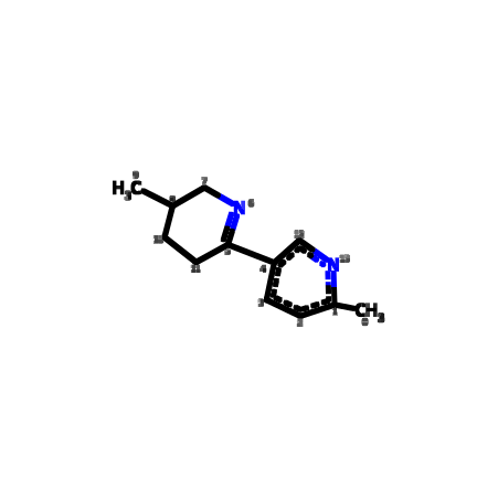 Cc1ccc(C2=NCC(C)CC2)cn1